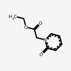 CCOC(=O)Cn1ccccc1=O